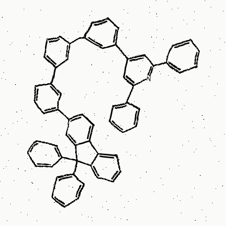 c1ccc(-c2cc(-c3cccc(-c4cccc(-c5cccc(-c6ccc7c(c6)C(c6ccccc6)(c6ccccc6)c6ccccc6-7)c5)c4)c3)cc(-c3ccccc3)n2)cc1